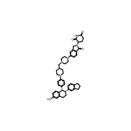 O=C1CCC(N2Cc3cc(N4CCN(CC5CCN(c6ccc([C@@H]7c8ccc(O)cc8CC[C@@H]7c7ccc8c(c7)CCC8)cc6)CC5)CC4)ccc3C2=O)C(=O)N1